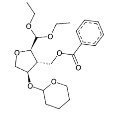 CCOC(OCC)[C@@H]1OC[C@H](OC2CCCCO2)[C@H]1COC(=O)c1ccccc1